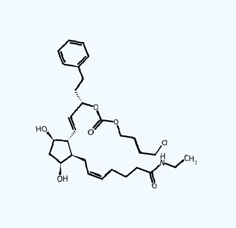 CCNC(=O)CCC/C=C\C[C@@H]1[C@@H](/C=C/[C@H](CCc2ccccc2)OC(=O)OCCCCCl)[C@H](O)C[C@@H]1O